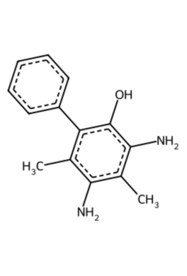 Cc1c(N)c(C)c(-c2ccccc2)c(O)c1N